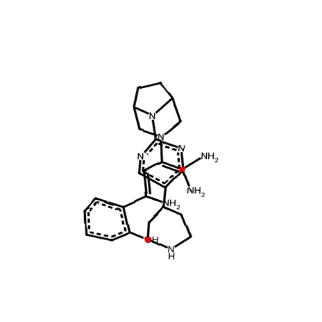 NC(N)=C(/C=C(\N)c1ccccc1O)N1CC2CCC(C1)N2c1ncc(C2CCNCC2)cn1